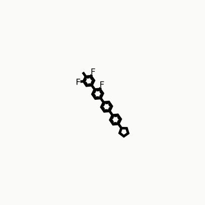 Cc1c(F)cc(-c2ccc(-c3ccc(-c4ccc(C5CCCC5)cc4)cc3)cc2F)cc1F